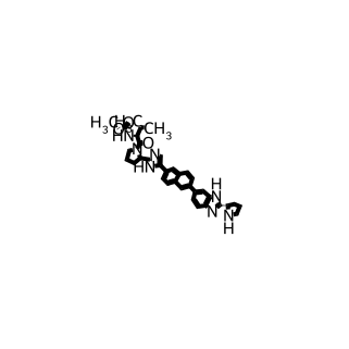 COC(=O)N[C@H](C(=O)N1CCCC1c1ncc(-c2ccc3cc(-c4ccc5nc([C@@H]6CCCN6)[nH]c5c4)ccc3c2)[nH]1)C(C)C